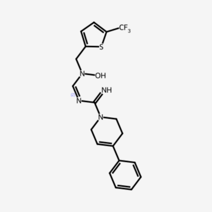 N=C(/N=C\N(O)Cc1ccc(C(F)(F)F)s1)N1CC=C(c2ccccc2)CC1